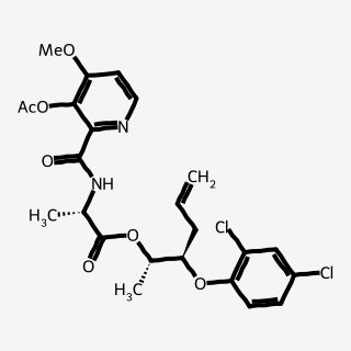 C=CC[C@@H](Oc1ccc(Cl)cc1Cl)[C@H](C)OC(=O)[C@H](C)NC(=O)c1nccc(OC)c1OC(C)=O